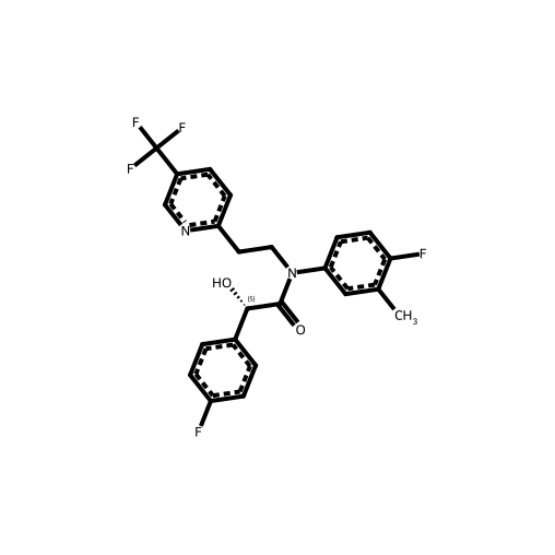 Cc1cc(N(CCc2ccc(C(F)(F)F)cn2)C(=O)[C@@H](O)c2ccc(F)cc2)ccc1F